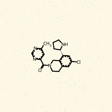 Cc1cc(C(=O)N2CCc3cc(Cl)cc([C@@H]4CCCN4)c3C2)ncn1